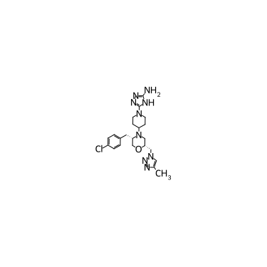 Cc1cn(C[C@H]2CN(C3CCN(c4nnc(N)[nH]4)CC3)[C@@H](Cc3ccc(Cl)cc3)CO2)nn1